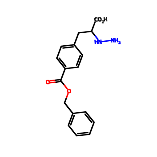 NNC(Cc1ccc(C(=O)OCc2ccccc2)cc1)C(=O)O